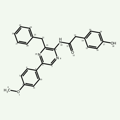 COc1ccc(-c2cnc(NC(=O)Cc3ccc(O)cc3)c(Cc3ccccc3)n2)cc1